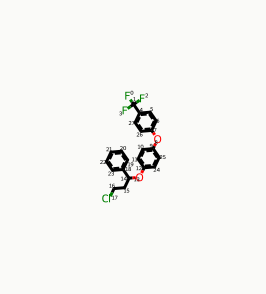 FC(F)(F)c1ccc(Oc2ccc(OC(CCCl)c3ccccc3)cc2)cc1